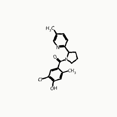 Cc1ccc(C2CCCN2C(=O)c2cc(Cl)c(O)cc2C)nc1